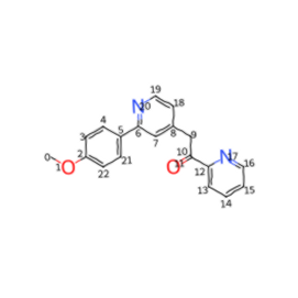 COc1ccc(-c2cc(CC(=O)c3ccccn3)ccn2)cc1